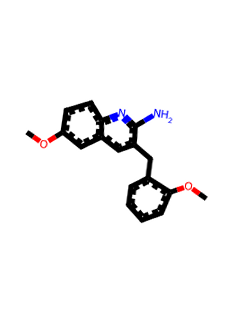 COc1ccc2nc(N)c(Cc3ccccc3OC)cc2c1